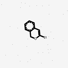 [CH2]CC1=Cc2ccccc2CO1